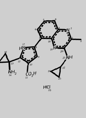 Cc1nc2cccc(-c3cc(C(=O)O)c(C4(N)CC4)[nH]3)c2nc1NC1CC1.Cl